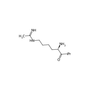 CC(=N)NCCCC[C@@H](N)C(=O)C(C)C